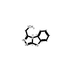 CCc1nnc2sc3ccccc3n12